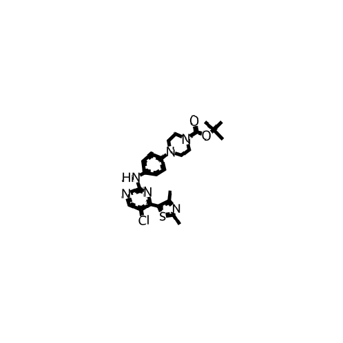 Cc1nc(C)c(-c2nc(Nc3ccc(N4CCN(C(=O)OC(C)(C)C)CC4)cc3)ncc2Cl)s1